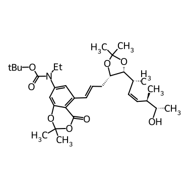 CCN(C(=O)OC(C)(C)C)c1cc(/C=C/C[C@@H]2OC(C)(C)O[C@@H]2[C@H](C)/C=C\[C@@H](C)[C@H](C)O)c2c(c1)OC(C)(C)OC2=O